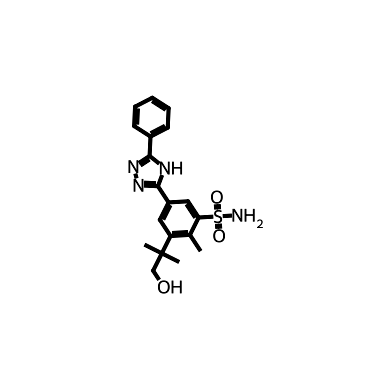 Cc1c(C(C)(C)CO)cc(-c2nnc(-c3ccccc3)[nH]2)cc1S(N)(=O)=O